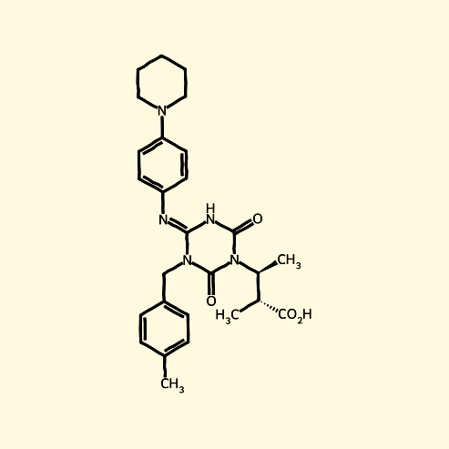 Cc1ccc(Cn2c(=O)n([C@@H](C)[C@@H](C)C(=O)O)c(=O)[nH]/c2=N\c2ccc(N3CCCCC3)cc2)cc1